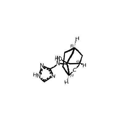 OC12C[C@@H]3C[C@H](C1)C(Nc1nc[nH]n1)[C@@H](C3)C2